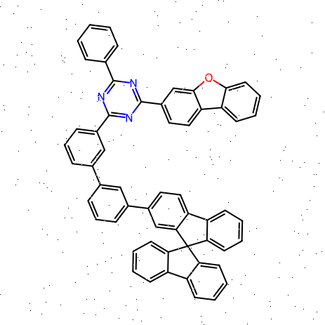 c1ccc(-c2nc(-c3cccc(-c4cccc(-c5ccc6c(c5)C5(c7ccccc7-c7ccccc75)c5ccccc5-6)c4)c3)nc(-c3ccc4c(c3)oc3ccccc34)n2)cc1